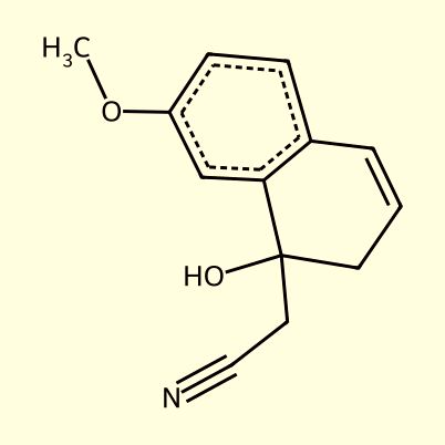 COc1ccc2c(c1)C(O)(CC#N)CC=C2